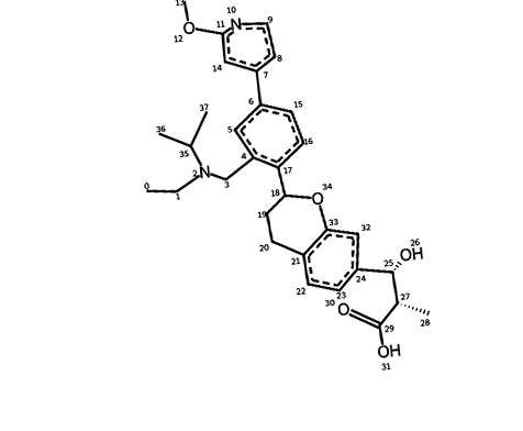 CCN(Cc1cc(-c2ccnc(OC)c2)ccc1C1CCc2ccc([C@H](O)[C@H](C)C(=O)O)cc2O1)C(C)C